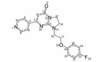 O=c1cc(-c2ccncc2)nc2n1CCN2CCOc1ccc(F)cc1